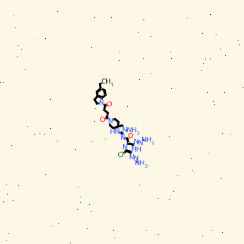 CCc1ccc2c(c1)CCN2C(=O)CCC(=O)N1CCC2(CC1)CN(N)/C(=N\C(=O)C1=NC(Cl)=C(N=NN)NC1N=NN)N2